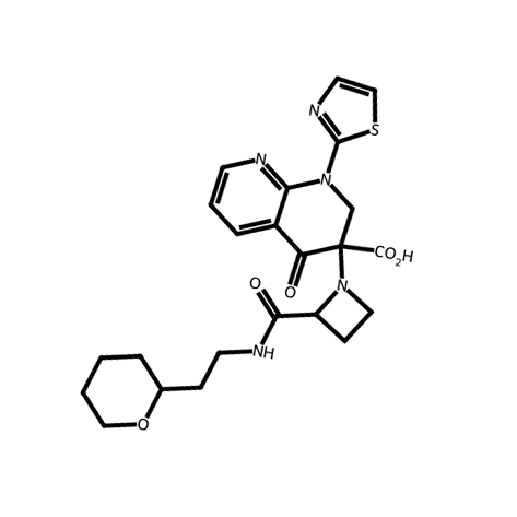 O=C(NCCC1CCCCO1)C1CCN1C1(C(=O)O)CN(c2nccs2)c2ncccc2C1=O